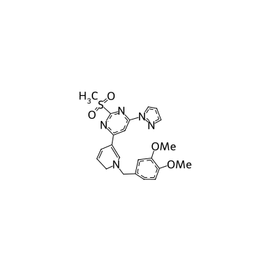 COc1ccc(CN2C=C(c3cc(-n4cccn4)nc(S(C)(=O)=O)n3)C=CC2)cc1OC